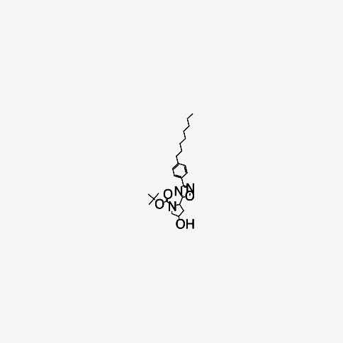 CCCCCCCCc1ccc(-c2noc(C3CC(O)CN3C(=O)OC(C)(C)C)n2)cc1